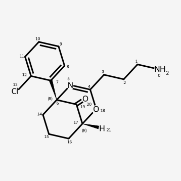 NCCCC1=N[C@@]2(c3ccccc3Cl)CCC[C@@H](O1)C2=O